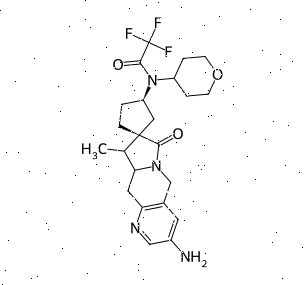 CC1C2Cc3ncc(N)cc3CN2C(=O)[C@]12CC[C@@H](N(C(=O)C(F)(F)F)C1CCOCC1)C2